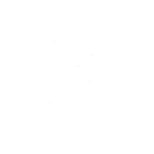 CC(C)(C)OC(=O)N1Cc2nc3ccc(Br)cc3n2[C@@H](c2ccccc2OC(F)F)C1